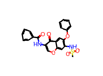 CS(=O)(=O)Nc1cc2occ(NC(=O)c3ccccc3)c(=O)c2cc1Oc1ccccc1